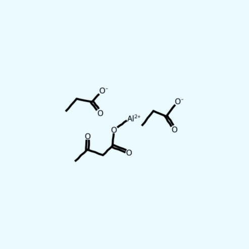 CC(=O)CC(=O)[O][Al+2].CCC(=O)[O-].CCC(=O)[O-]